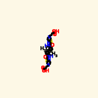 Cc1c(NC(=O)c2nc3c(s2)CN(CCCC(=O)O)CC3)cccc1-c1cccc(NC(=O)c2nc3c(s2)CN(CCCC(=O)O)CC3)c1C